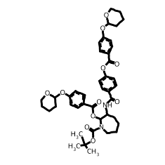 CC(C)(C)OC(=O)N1CCCCC(NC(=O)c2ccc(OC(=O)c3ccc(OC4CCCCO4)cc3)cc2)C1OC(=O)c1ccc(OC2CCCCO2)cc1